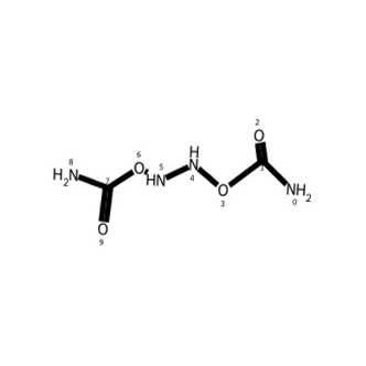 NC(=O)ONNOC(N)=O